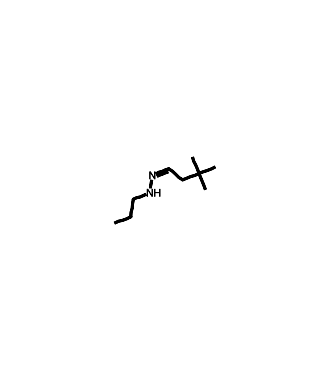 CCCN/N=C\CC(C)(C)C